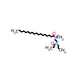 CCCCCCCCCCCCCCCCCC(=O)N(C)CCN(CCC)C(=O)CC